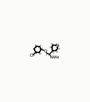 CNC(COc1cccc(Cl)c1)c1ccncc1